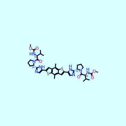 COC(=O)N[C@H](C(=O)N1CCC[C@H]1c1ncc(-c2cc3c(C)c4sc(-c5cnc([C@@H]6CCCN6C(=O)[C@@H](NC(=O)OC)C(C)C)[nH]5)cc4c(C)c3s2)[nH]1)C(C)C